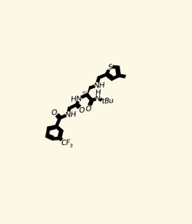 Cc1csc(CNC[C@H](NC(=O)CNC(=O)c2cccc(C(F)(F)F)c2)C(=O)NC(C)(C)C)c1